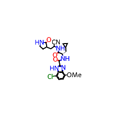 COc1ccc(Cl)c2[nH]c(C(=O)N[C@@H](CC3CC3)C(=O)N[C@H](C#N)CC3CCNC3=O)nc12